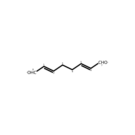 O=[C]C=CCCC=C[C]=O